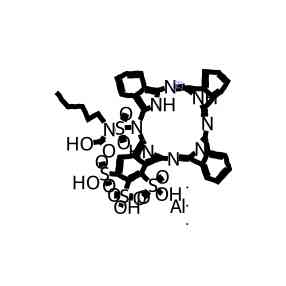 CCCCCN(C(=O)O)S(=O)(=O)N1c2[nH]c(c3ccccc23)/N=c2\[nH]c(c3ccccc23)=NC2=NC(=Nc3[nH]c1c1cc(S(=O)(=O)O)c(S(=O)(=O)O)c(S(=O)(=O)O)c31)c1ccccc12.[Al]